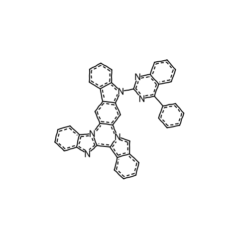 c1ccc(-c2nc(-n3c4ccccc4c4cc5c(cc43)n3cc4ccccc4c3c3nc4ccccc4n53)nc3ccccc23)cc1